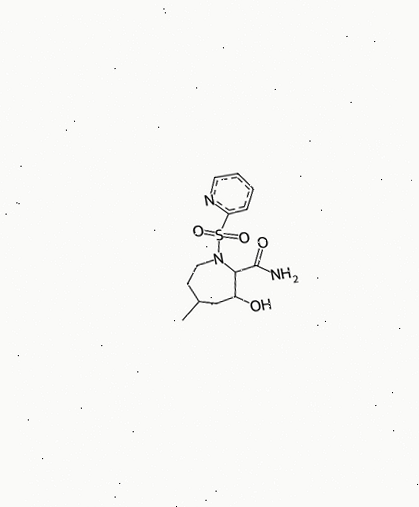 CC1[CH]C(O)C(C(N)=O)N(S(=O)(=O)c2ccccn2)CC1